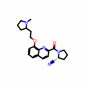 CN1CCCC1CCOc1cccc2ccc(C(=O)N3CCC[C@@H]3C#N)nc12